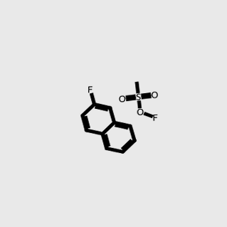 CS(=O)(=O)OF.Fc1ccc2ccccc2c1